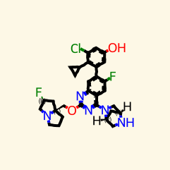 Oc1cc(Cl)c(C2CC2)c(-c2cc3nc(OC[C@@]45CCCN4C[C@H](F)C5)nc(N4C[C@H]5C[C@@H]4CN5)c3cc2F)c1